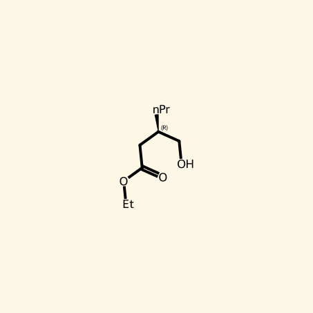 CCC[C@@H](CO)CC(=O)OCC